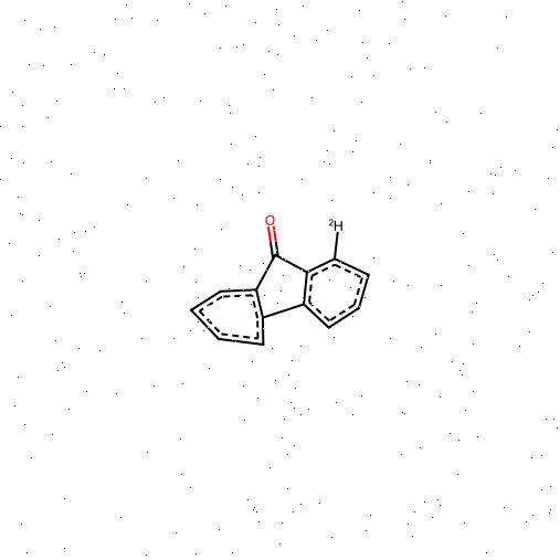 [2H]c1cccc2c1C(=O)c1ccccc1-2